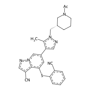 CC(=O)N1CCC[C@H](Cn2ncc(-c3cc(Sc4ccccc4C#N)c4c(C#N)cnn4c3)c2C)C1